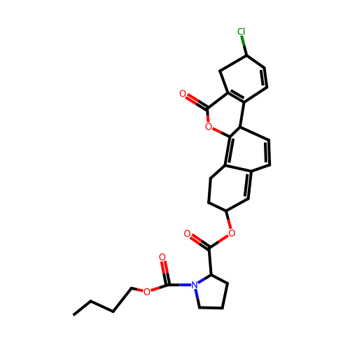 CCCCOC(=O)N1CCCC1C(=O)OC1C=C2C=CC3C4=C(CC(Cl)C=C4)C(=O)OC3=C2CC1